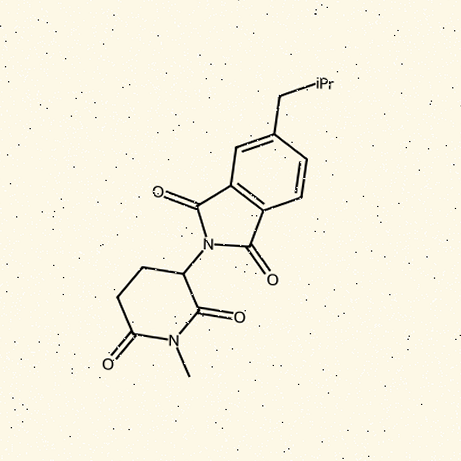 CC(C)Cc1ccc2c(c1)C(=O)N(C1CCC(=O)N(C)C1=O)C2=O